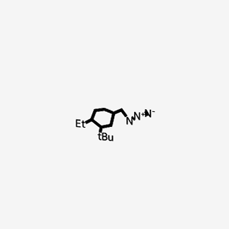 CCC1CCC(CN=[N+]=[N-])CC1C(C)(C)C